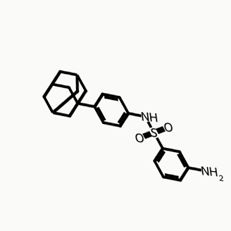 Nc1cccc(S(=O)(=O)Nc2ccc(C34CC5CC(CC(C5)C3)C4)cc2)c1